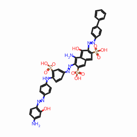 Nc1ccc(N=Nc2ccc(Nc3ccc(N=Nc4c(S(=O)(=O)O)cc5cc(S(=O)(=O)O)c(N=Nc6ccc(-c7ccccc7)cc6)c(O)c5c4N)cc3S(=O)(=O)O)cc2)c(O)c1